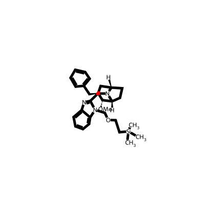 CO[C@@H]1[C@@H](Cc2ccccc2)C[C@@H]2CC[C@H]1N2Cc1nc2ccccc2n1COCC[Si](C)(C)C